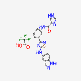 O=C(Nc1cccc(-c2nsc(Nc3ccc4[nH]ncc4c3)n2)c1)c1c[nH]cn1.O=C(O)C(F)(F)F